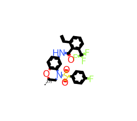 C=Cc1cccc(C(F)(F)F)c1C(=O)Nc1ccc2c(c1)N(S(=O)(=O)c1ccc(F)cc1)C[C@H](C)O2